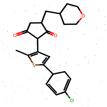 Cc1sc(C2C=CC(Cl)=CC2)cc1C1C(=O)CC(CC2CCOCC2)C1=O